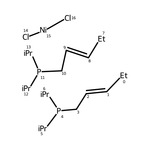 CCC=CCP(C(C)C)C(C)C.CCC=CCP(C(C)C)C(C)C.[Cl][Ni][Cl]